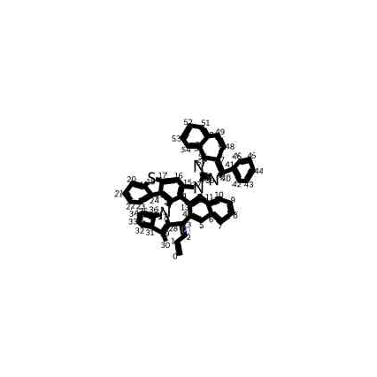 C=C/C=c1/c2cc3ccccc3c3c2c2c(cc4sc5ccccc5c4c2n2c1c(C)c1ccccc12)n3-c1nc(-c2ccccc2)c2ccc3ccccc3c2n1